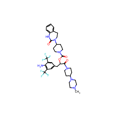 CN1CCN(C2CCN(C(=O)C(Cc3cc(C(F)(F)F)c(N)c(C(F)(F)F)c3)OC(=O)N3CCC(N4CCc5ccccc5NC4=O)CC3)CC2)CC1